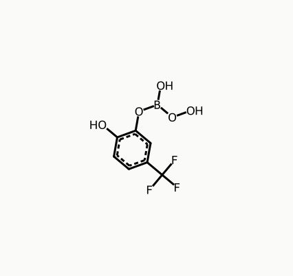 OOB(O)Oc1cc(C(F)(F)F)ccc1O